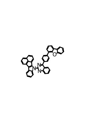 c1cc2c3c(cccc3c1)-c1c-2c2ccccc2n1-c1nc(-c2ccc(-c3cccc4c3oc3ccccc34)cc2)c2ccccc2n1